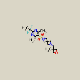 Cc1nc(C(C)(F)F)nc(C)c1S(=O)(=O)N1CC2(CN(CC3(C)COC3)C2)C1